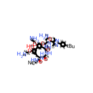 Cc1nc(-c2ccc(C(C)(C)C)cc2)nc(C)c1C(=O)N[C@H](CCN)C(=O)N(C)[C@@H]1C(=O)N[C@H](C)C(=O)N[C@H](C(=O)NCC#N)Cc2cc(OCCN)c(O)c(c2)-c2cc1ccc2OCCN